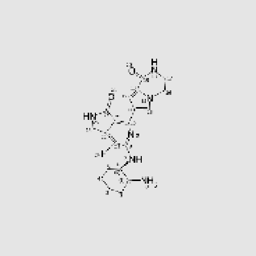 N[C@H]1CCCC[C@H]1Nc1nc(-c2cc3n(c2)CCNC3=O)c2c(c1F)CNC2=O